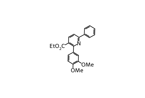 CCOC(=O)c1ccc(-c2ccccc2)nc1-c1ccc(OC)c(OC)c1